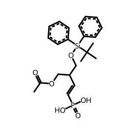 CC(=O)OCC(/C=C/P(=O)(O)O)CO[Si](c1ccccc1)(c1ccccc1)C(C)(C)C